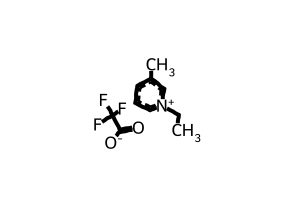 CC[n+]1cccc(C)c1.O=C([O-])C(F)(F)F